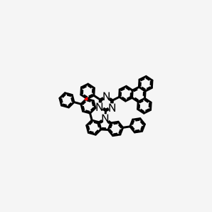 c1ccc(-c2cccc(-c3cccc4c5ccc(-c6ccccc6)cc5n(-c5nc(-c6ccccc6)nc(-c6ccc7c8ccccc8c8ccccc8c7c6)n5)c34)c2)cc1